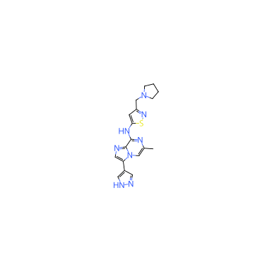 Cc1cn2c(-c3cn[nH]c3)cnc2c(Nc2cc(CN3CCCC3)ns2)n1